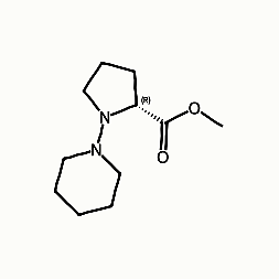 COC(=O)[C@H]1CCCN1N1CCCCC1